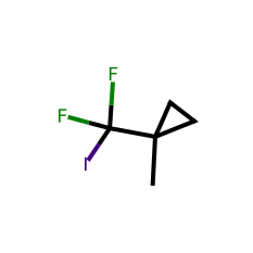 CC1(C(F)(F)I)CC1